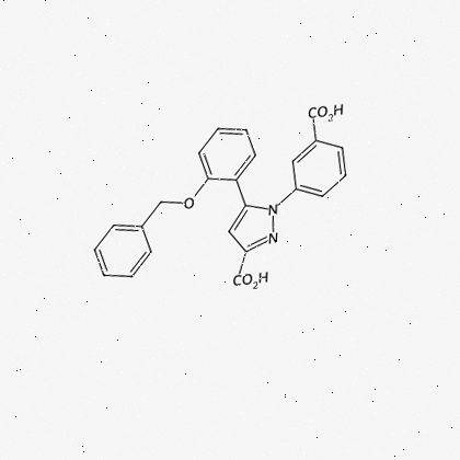 O=C(O)c1cccc(-n2nc(C(=O)O)cc2-c2ccccc2OCc2ccccc2)c1